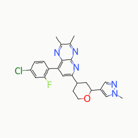 Cc1nc2nc(C3CCOC(c4cnn(C)c4)C3)cc(-c3ccc(Cl)cc3F)c2nc1C